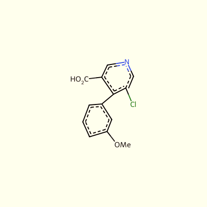 COc1cccc(-c2c(Cl)cncc2C(=O)O)c1